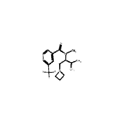 CC(C)C(CN1CCC1)N(C)C(=O)c1cccc(C(F)(F)F)c1